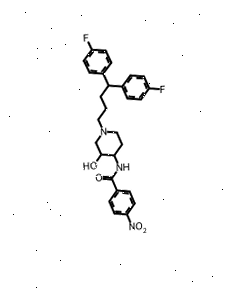 O=C(NC1CCN(CCCC(c2ccc(F)cc2)c2ccc(F)cc2)CC1O)c1ccc([N+](=O)[O-])cc1